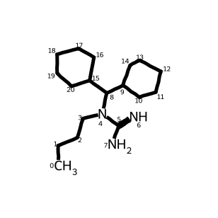 CCCCN(C(=N)N)C(C1CCCCC1)C1CCCCC1